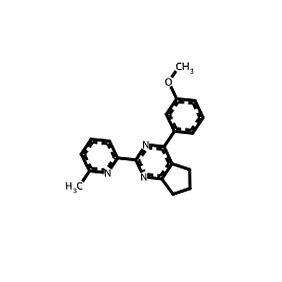 COc1cccc(-c2nc(-c3cccc(C)n3)nc3c2CCC3)c1